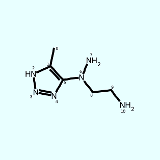 Cc1[nH]nnc1N(N)CCN